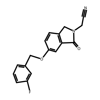 N#CCN1Cc2ccc(OCc3cccc(F)c3)cc2C1=O